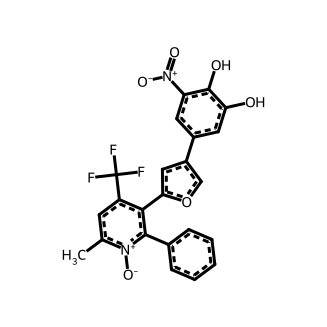 Cc1cc(C(F)(F)F)c(-c2cc(-c3cc(O)c(O)c([N+](=O)[O-])c3)co2)c(-c2ccccc2)[n+]1[O-]